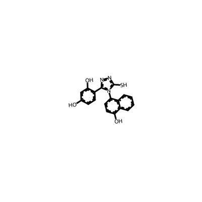 Oc1ccc(-c2nnc(S)n2-c2ccc(O)c3ccccc23)c(O)c1